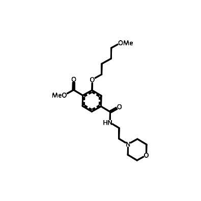 COCCCCOc1cc(C(=O)NCCN2CCOCC2)ccc1C(=O)OC